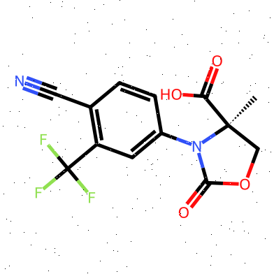 C[C@]1(C(=O)O)COC(=O)N1c1ccc(C#N)c(C(F)(F)F)c1